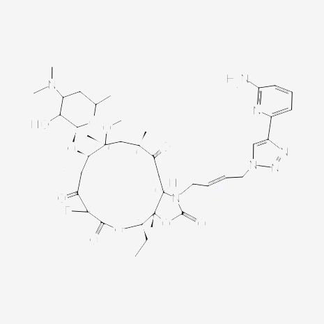 CC[C@H]1OC(=O)[C@@](C)(F)C(=O)[C@H](C)[C@@H](O[C@@H]2OC(C)CC(N(C)C)C2O)[C@](C)(OC)C[C@@H](C)C(=O)[C@H](C)[C@H]2N(C/C=C/Cn3cc(-c4cccc(N)n4)nn3)C(=O)O[C@]12C